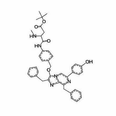 CNC(CC(=O)OC(C)(C)C)C(=O)Nc1ccc(COc2c(Cc3ccccc3)nc3c(Cc4ccccc4)nc(-c4ccc(O)cc4)cn23)cc1